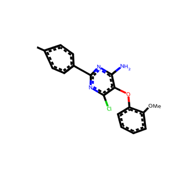 COc1ccccc1Oc1c(N)nc(-c2ccc(C)cc2)nc1Cl